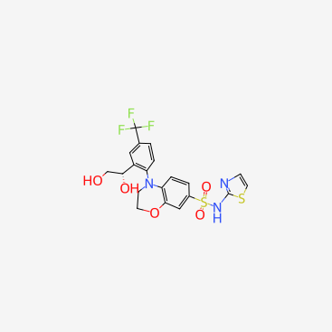 O=S(=O)(Nc1nccs1)c1ccc2c(c1)OCCN2c1ccc(C(F)(F)F)cc1[C@H](O)CO